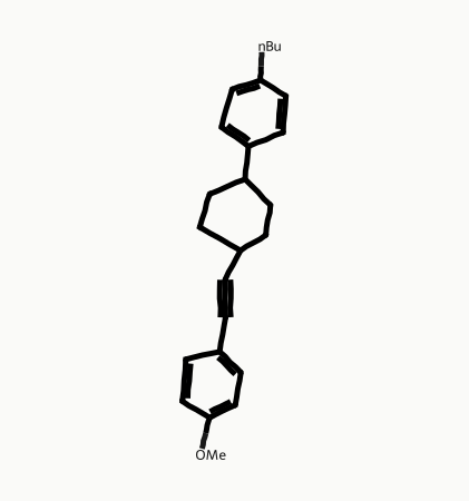 CCCCc1ccc(C2CCC(C#Cc3ccc(OC)cc3)CC2)cc1